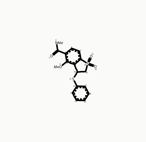 CNC(=O)c1ccc2c(c1OC)C(Sc1ccccc1)CS2(=O)=O